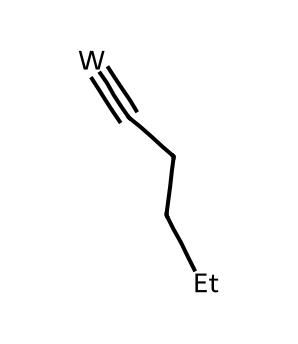 CCCC[C]#[W]